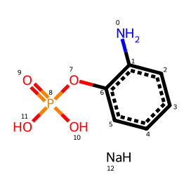 Nc1ccccc1OP(=O)(O)O.[NaH]